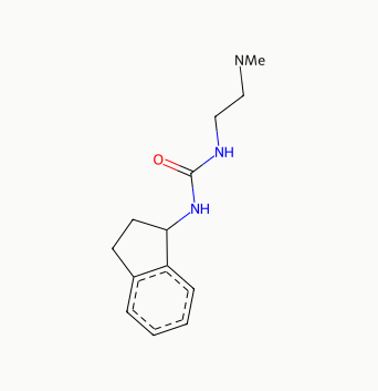 CNCCNC(=O)NC1CCc2ccccc21